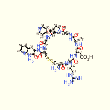 CC(C)[C@@H]1NC(=O)[C@H](CC(=O)O)NC(=O)[C@H](CCCNC(=N)N)NC(=O)[C@@H](N)CSSC[C@@H](C(=O)N[C@@H](Cc2cccnc2)C(N)=O)NC(=O)[C@H](Cc2cccnc2)NC(=O)[C@@H]2CCCN2C(=O)CNC1=O